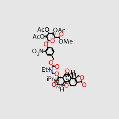 CCN(CO[C@H]1C2[C@H]3O[C@H]3[C@H]3C4=C(CC[C@]3(C)[C@@]23O[C@H]3[C@@H]2O[C@]12C(C)C)C(=O)OC4)C(=O)OCc1ccc(O[C@@H]2OC(C(=O)OC)[C@@H](OC(C)=O)C(OC(C)=O)[C@@H]2OC(C)=O)c([N+](=O)[O-])c1